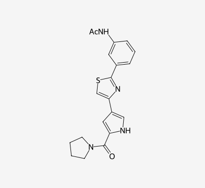 CC(=O)Nc1cccc(-c2nc(-c3c[nH]c(C(=O)N4CCCC4)c3)cs2)c1